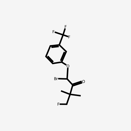 CC(C)(CF)C(=O)C(Br)Oc1cccc(C(F)(F)F)c1